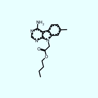 CCCCOC(=O)Cn1c2cc(C)ccc2c2c(N)ncnc21